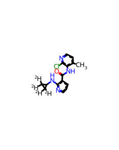 [2H]C1([2H])C(Nc2ncccc2C(=O)Nc2c(C)ccnc2Cl)C1([2H])[2H]